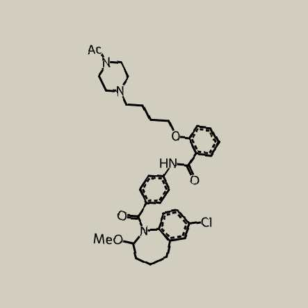 COC1CCCc2cc(Cl)ccc2N1C(=O)c1ccc(NC(=O)c2ccccc2OCCCCN2CCN(C(C)=O)CC2)cc1